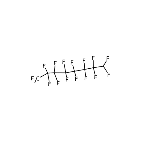 F[C](F)C(F)(F)C(F)(F)C(F)(F)C(F)(F)C(F)(F)C(F)(F)C(F)(F)F